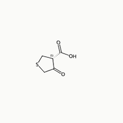 O=C(O)[C@H]1CSCC1=O